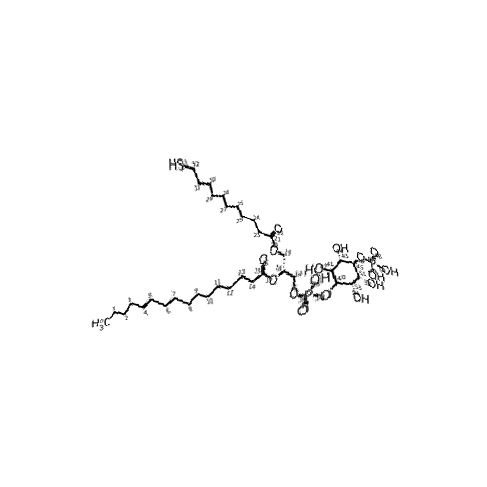 CCCCCCCCCCCCCCCC(=O)O[C@H](COC(=O)CCCCCCCCCCS)COP(=O)(O)OC1C(O)[C@H](O)C(OP(=O)(O)O)[C@H](O)[C@@H]1O